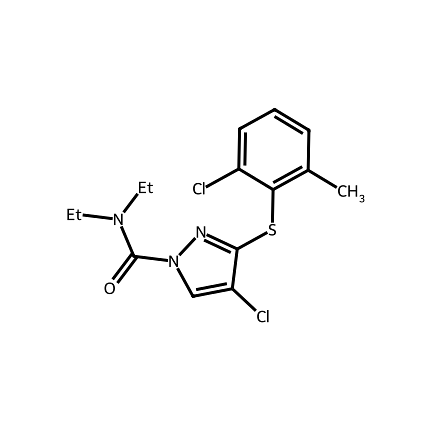 CCN(CC)C(=O)n1cc(Cl)c(Sc2c(C)cccc2Cl)n1